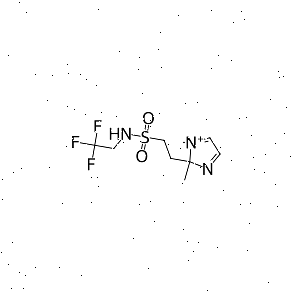 CC1(CCS(=O)(=O)NCC(F)(F)F)N=CC=[N+]1